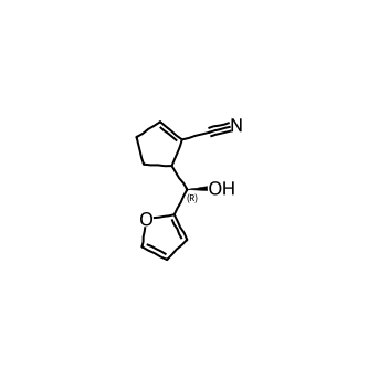 N#CC1=CCCC1[C@@H](O)c1ccco1